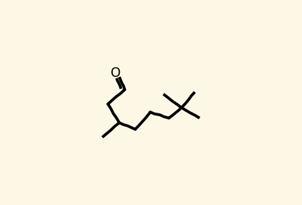 CC(CC=O)CCCC(C)(C)C